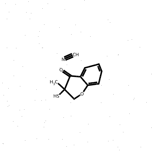 C#N.CC1(S)COc2ccccc2C1=O